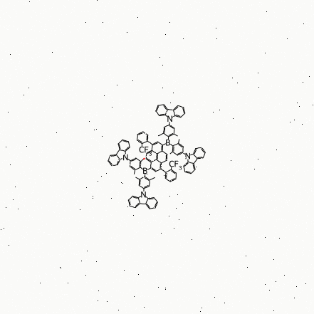 Cc1cc(-n2c3ccccc3c3ccccc32)cc(C)c1B(c1c(C)cc(-n2c3ccccc3c3ccccc32)cc1C)c1cc(-c2ccccc2C(F)(F)F)c2ccc3c(B(c4c(C)cc(-n5c6ccccc6c6ccccc65)cc4C)c4c(C)cc(-n5c6ccccc6c6ccccc65)cc4C)cc(-c4ccccc4C(F)(F)F)c4ccc1c2c34